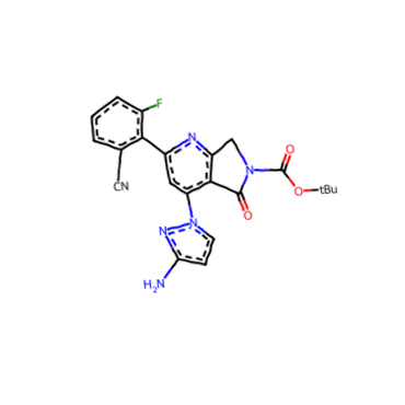 CC(C)(C)OC(=O)N1Cc2nc(-c3c(F)cccc3C#N)cc(-n3ccc(N)n3)c2C1=O